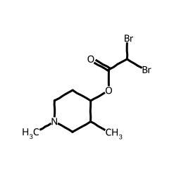 CC1CN(C)CCC1OC(=O)C(Br)Br